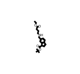 CCOC(=O)CCCNCc1ccc2c(c1)C(C(=O)OC(C)(C)C)C=C2